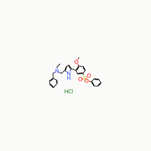 CCN(Cc1ccccc1)Cc1ccc(-c2cc(S(=O)(=O)Oc3ccccc3)ccc2OC)[nH]1.Cl